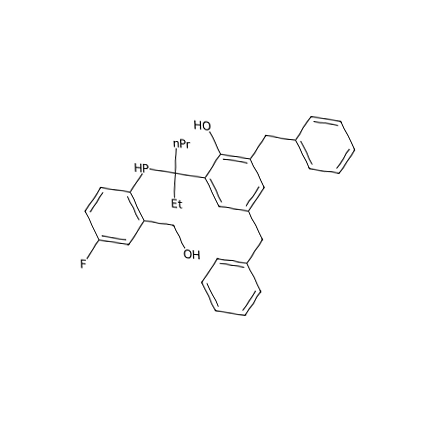 CCCC(CC)(Pc1ccc(F)cc1CO)c1cc(Cc2ccccc2)cc(Cc2ccccc2)c1O